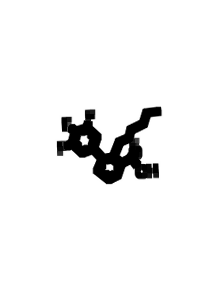 CCCCC(F)Cc1c(C(=O)O)cccc1-c1cc(F)c(F)c(F)c1